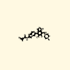 CN1CCN(Nc2c(F)c(Cl)c(-c3cn4cc(NC(=O)C5CC5F)nc4cn3)c3cn[nH]c23)CC1